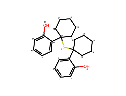 Oc1ccccc1C1(SC2(c3ccccc3O)CCCCC2)CCCCC1